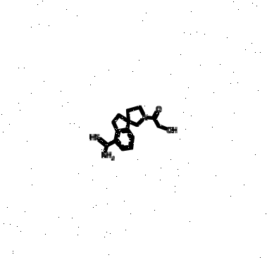 N=C(N)c1cccc2c1CCC21CCN(C(=O)CO)C1